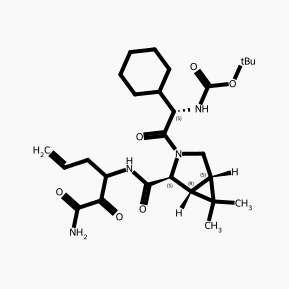 C=CCC(NC(=O)[C@@H]1[C@@H]2[C@H](CN1C(=O)[C@@H](NC(=O)OC(C)(C)C)C1CCCCC1)C2(C)C)C(=O)C(N)=O